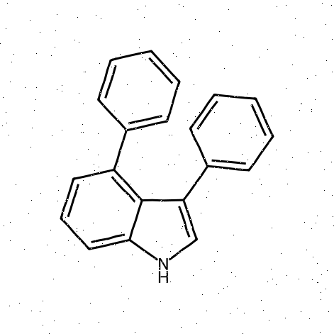 c1ccc(-c2cccc3[nH]cc(-c4ccccc4)c23)cc1